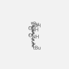 CC(C)(C)CCSCCNC(=O)CCNC(=O)C(O)C(C)(C)C